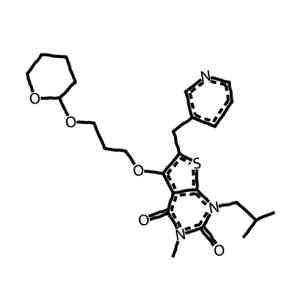 CC(C)Cn1c(=O)n(C)c(=O)c2c(OCCCOC3CCCCO3)c(Cc3cccnc3)sc21